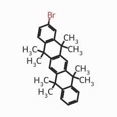 CC1(C)c2ccccc2C(C)(C)c2cc3c(cc21)C(C)(C)c1ccc(Br)cc1C3(C)C